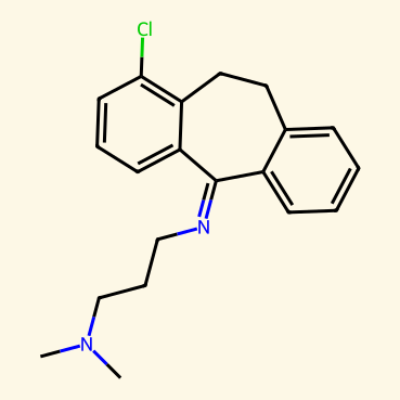 CN(C)CCCN=C1c2ccccc2CCc2c(Cl)cccc21